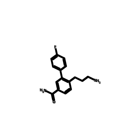 NCCCc1ccc(C(N)=O)cc1-c1ccc(F)cc1